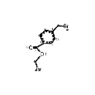 O=C(OCBr)c1ccc(CBr)cc1